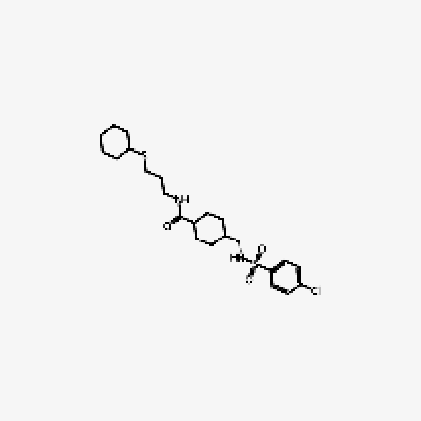 O=C(NCCCSC1CCCCC1)C1CCC(CNS(=O)(=O)c2ccc(Cl)cc2)CC1